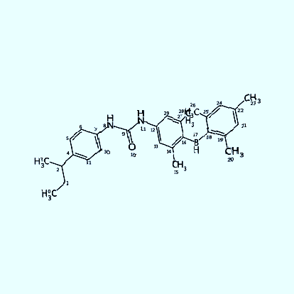 CCC(C)c1ccc(NC(=O)Nc2cc(C)c(Bc3c(C)cc(C)cc3C)c(C)c2)cc1